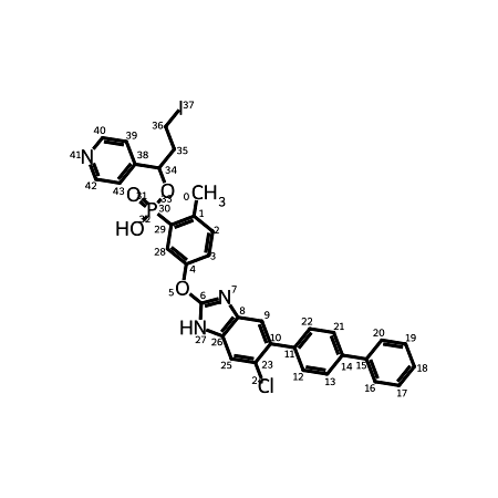 Cc1ccc(Oc2nc3cc(-c4ccc(-c5ccccc5)cc4)c(Cl)cc3[nH]2)cc1P(=O)(O)OC(CCI)c1ccncc1